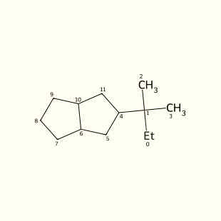 CCC(C)(C)C1CC2CCCC2C1